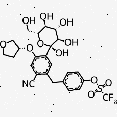 N#Cc1cc(O[C@@H]2CCOC2)c([C@]2(O)O[C@H](CO)[C@@H](O)[C@H](O)[C@H]2O)cc1Cc1ccc(OS(=O)(=O)C(F)(F)F)cc1